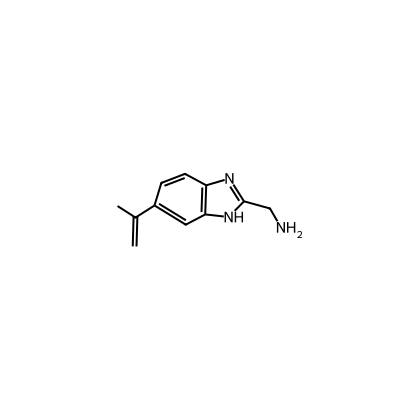 C=C(C)c1ccc2nc(CN)[nH]c2c1